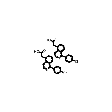 O=C(O)Cc1cccc2c(-c3ccc(Br)cc3)nccc12.O=C(O)Cc1cccc2c(-c3ccc(Cl)cc3)nccc12